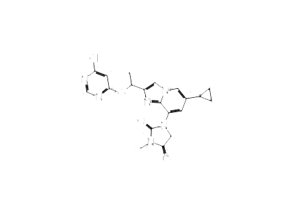 CC(Oc1cc(Cl)ncn1)c1cn2cc(C3CC3)cc(N3CC(=O)N(C)C3=O)c2n1